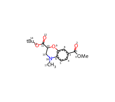 COC(=O)c1ccc2c(c1)OC(C(=O)OC(C)(C)C)CN2C